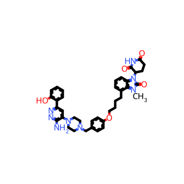 Cn1c(=O)n(C2CCC(=O)NC2=O)c2cccc(CCCCOc3ccc(CN4CCN(c5cc(-c6ccccc6O)nnc5N)CC4)cc3)c21